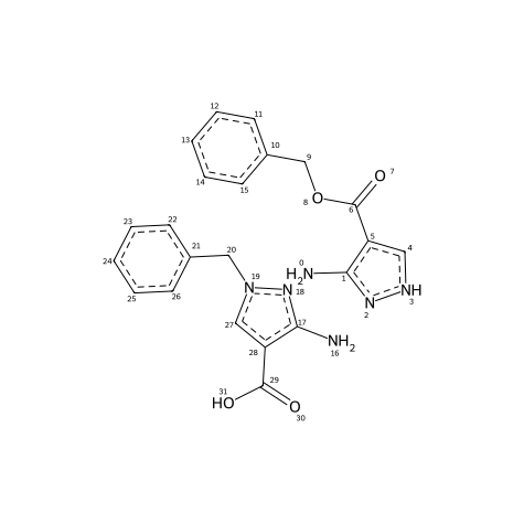 Nc1n[nH]cc1C(=O)OCc1ccccc1.Nc1nn(Cc2ccccc2)cc1C(=O)O